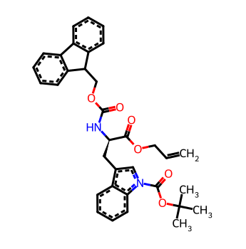 C=CCOC(=O)[C@@H](Cc1cn(C(=O)OC(C)(C)C)c2ccccc12)NC(=O)OCC1c2ccccc2-c2ccccc21